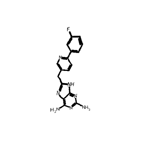 Nc1nc(N)c2nc(Cc3ccc(-c4cccc(F)c4)nc3)[nH]c2n1